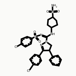 NS(=O)(=O)C1CCC(NC(=NS(=O)(=O)c2ccc(Cl)cc2)N2CC(c3ccccc3)C(c3ccc(Cl)cc3)=N2)CC1